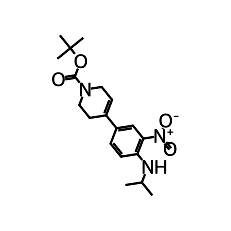 CC(C)Nc1ccc(C2=CCN(C(=O)OC(C)(C)C)CC2)cc1[N+](=O)[O-]